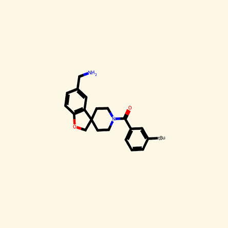 CC(C)(C)c1cccc(C(=O)N2CCC3(CC2)COc2ccc(CN)cc23)c1